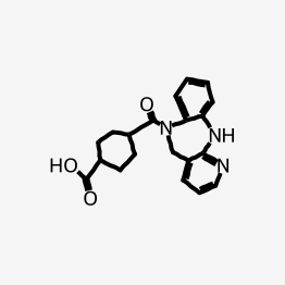 O=C(O)C1CCC(C(=O)N2Cc3cccnc3Nc3ccccc32)CC1